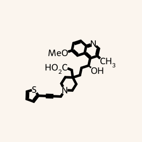 COc1ccc2ncc(C)c([C@@H](O)CCC3(CC(=O)O)CCN(CC#Cc4cccs4)CC3)c2c1